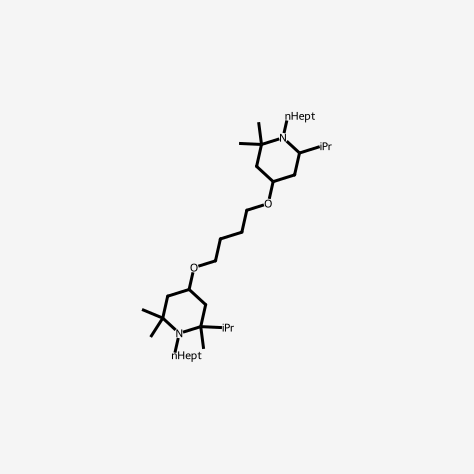 CCCCCCCN1C(C(C)C)CC(OCCCCOC2CC(C)(C)N(CCCCCCC)C(C)(C(C)C)C2)CC1(C)C